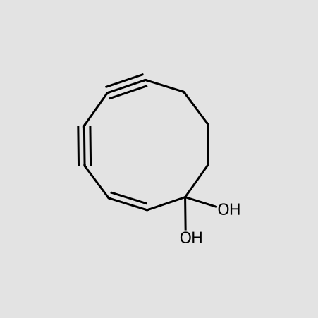 OC1(O)C=CC#CC#CCCC1